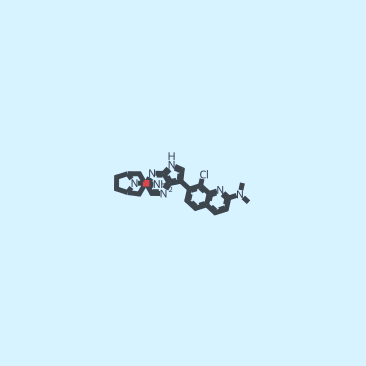 CN(C)c1ccc2ccc(-c3c[nH]c4nc(N5C6CCC5CC(N)C6)cnc34)c(Cl)c2n1